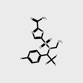 CCN(C(c1ccc(F)cc1)C(F)(F)F)S(=O)(=O)c1cnc(C(N)=O)s1